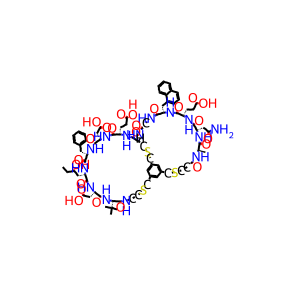 CCC(O)C[C@@H]1NC(=O)[C@H](Cc2ccccc2)NC(=O)[C@H](CC(=O)O)NC(=O)[C@H](CCC(=O)O)NC(=O)[C@H]2CSCc3cc(cc(c3)CSCCC(=O)N[C@H](C)C(=O)N[C@@H](CC(N)=O)C(=O)N[C@@H](CCC(=O)O)C(=O)N[C@@H](Cc3cccc4ccccc34)C(=O)NCC(=O)N2)CSCCNC(=O)[C@H](C(C)(C)C)NC(=O)[C@H](CC(=O)O)NC1=O